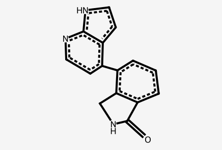 O=C1NCc2c1cccc2-c1ccnc2[nH]ccc12